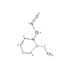 CCC1CCCCN1ON=O